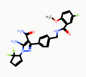 COc1ccc(F)cc1C(=O)NCc1ccc(-c2nn(C3C=CCC3(F)F)c(N)c2C(N)=O)cc1